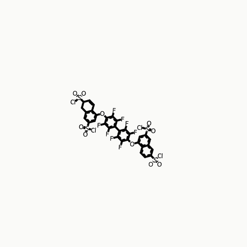 O=S(=O)(Cl)c1cc2c(c(Oc3c(F)c(F)c(-c4c(F)c(F)c(Oc5cc(S(=O)(=O)Cl)cc6cc(S(=O)(=O)Cl)ccc56)c(F)c4F)c(F)c3F)c1)C=CC(S(=O)(=O)Cl)C2